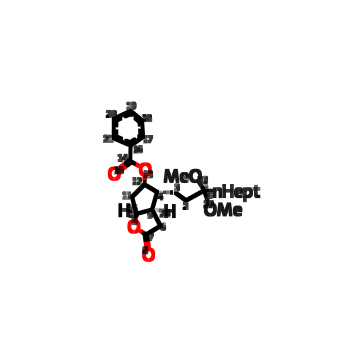 CCCCCCCC(CC[C@@H]1[C@H]2CC(=O)O[C@H]2C[C@H]1OC(=O)c1ccccc1)(OC)OC